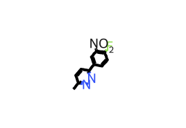 Cc1ccc(-c2ccc(F)c([N+](=O)[O-])c2)nn1